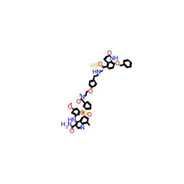 COc1cccc(Nc2c(C(N)=O)cnc3c(C)cc(S(=O)(=O)c4cccc(C(=O)N(C)CCOc5ccc(CCNC[C@H](OS)c6ccc(OCc7ccccc7)c7[nH]c(=O)ccc67)cc5)c4)cc23)c1